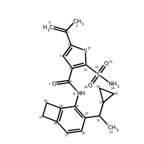 C=C(C)c1cc(C(=O)Nc2c(C(C)C3CC3)ccc3c2CC3)c(S(N)(=O)=O)s1